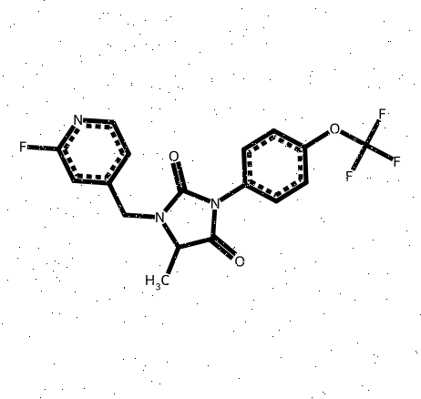 CC1C(=O)N(c2ccc(OC(F)(F)F)cc2)C(=O)N1Cc1ccnc(F)c1